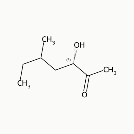 CCC(C)C[C@H](O)C(C)=O